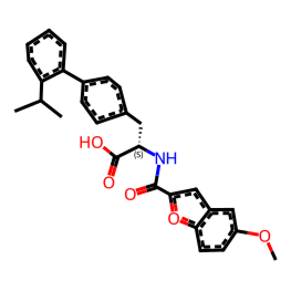 COc1ccc2oc(C(=O)N[C@@H](Cc3ccc(-c4ccccc4C(C)C)cc3)C(=O)O)cc2c1